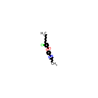 CCCCCCCc1ccc(C(=O)Oc2ccc(-c3ncc(CCC)cn3)cc2)cc1Cl